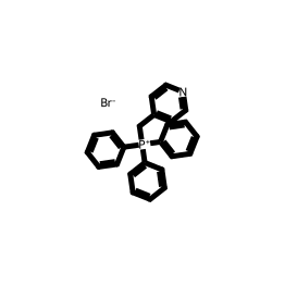 [Br-].c1ccc([P+](Cc2ccncc2)(c2ccccc2)c2ccccc2)cc1